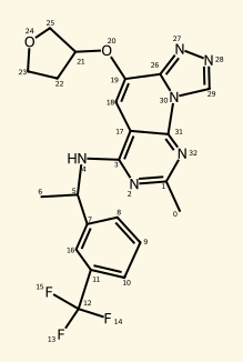 Cc1nc(NC(C)c2cccc(C(F)(F)F)c2)c2cc(OC3CCOC3)c3nncn3c2n1